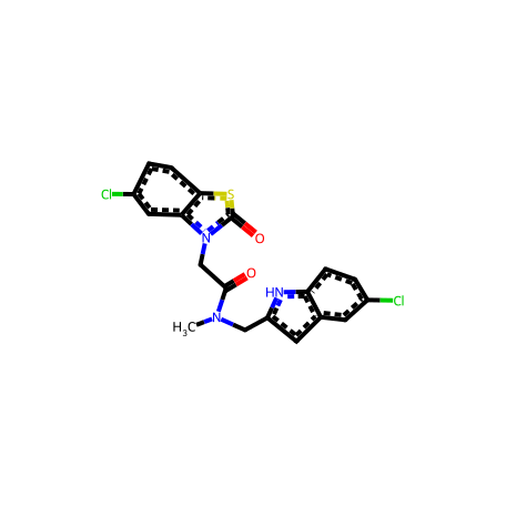 CN(Cc1cc2cc(Cl)ccc2[nH]1)C(=O)Cn1c(=O)sc2ccc(Cl)cc21